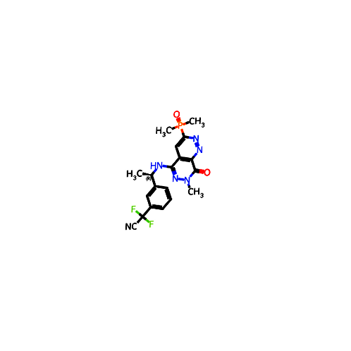 C[C@@H](Nc1nn(C)c(=O)c2nnc(P(C)(C)=O)cc12)c1cccc(C(F)(F)C#N)c1